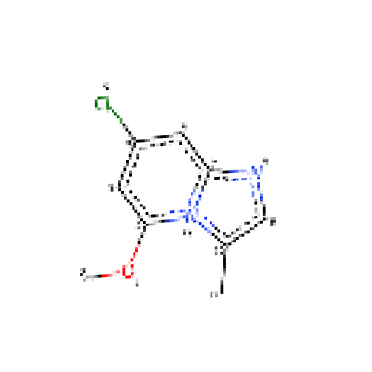 COc1cc(Cl)cc2ncc(C)n12